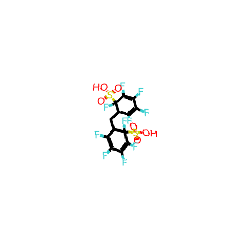 O=S(=O)(O)C1(F)C(F)=C(F)C(F)=C(F)C1CC1C(F)=C(F)C(F)=C(F)C1(F)S(=O)(=O)O